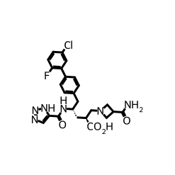 NC(=O)C1CN(C[C@H](C[C@@H](Cc2ccc(-c3cc(Cl)ccc3F)cc2)NC(=O)c2cnn[nH]2)C(=O)O)C1